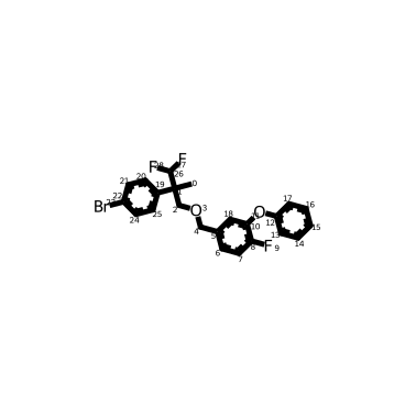 CC(COCc1ccc(F)c(Oc2ccccc2)c1)(c1ccc(Br)cc1)C(F)F